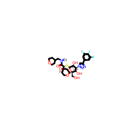 CCN(CC1CCOCC1)C(=O)[C@@H](S[C@@H]1O[C@H](CO)[C@H](O)[C@H](n2cc(-c3cc(F)c(F)c(F)c3)nn2)[C@H]1O)C1(O)CCOCC1